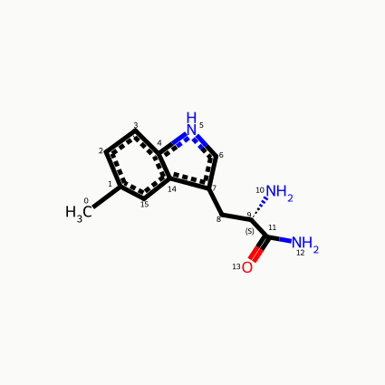 Cc1ccc2[nH]cc(C[C@H](N)C(N)=O)c2c1